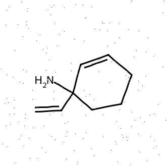 C=CC1(N)C=CCCC1